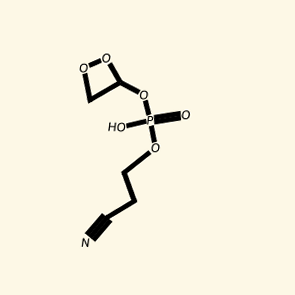 N#CCCOP(=O)(O)OC1COO1